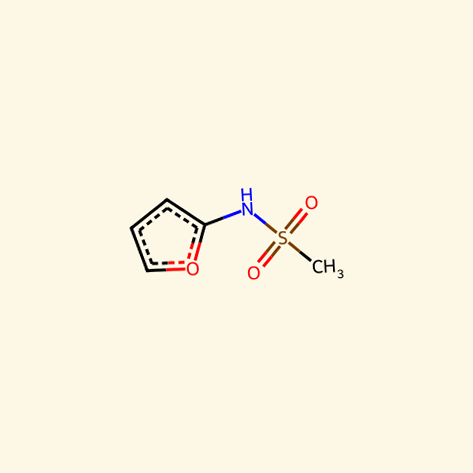 CS(=O)(=O)Nc1ccco1